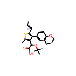 C/C=C/c1sc(C)c(C(OC(C)(C)C)C(=O)O)c1-c1ccc2c(c1)CCCO2